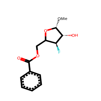 CO[C@H]1OC(COC(=O)c2ccccc2)[C@H](F)[C@H]1O